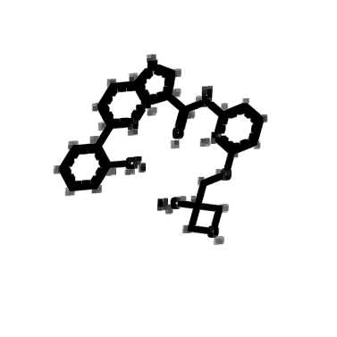 CC1(COc2cccc(NC(=O)c3cnc4ccc(-c5ccccc5C(F)(F)F)nn34)n2)COC1